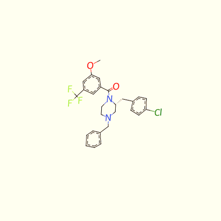 COc1cc(C(=O)N2CCN(Cc3ccccc3)C[C@H]2Cc2ccc(Cl)cc2)cc(C(F)(F)F)c1